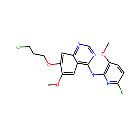 COc1cc2c(Nc3nc(Cl)ccc3OC)ncnc2cc1OCCCCl